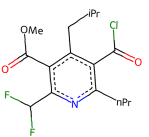 CCCc1nc(C(F)F)c(C(=O)OC)c(CC(C)C)c1C(=O)Cl